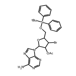 CC(=O)OC1C(Br)C(CO[Si](c2ccccc2)(c2ccccc2)C(C)(C)C)OC1n1cnc2c(N)ncnc21